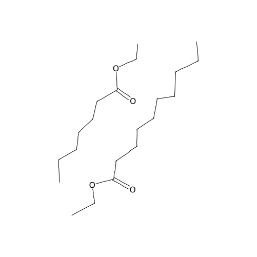 CCCCCCC(=O)OCC.CCCCCCCCCC(=O)OCC